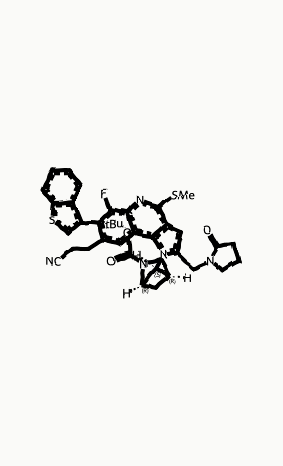 CSc1nc2c(F)c(-c3csc4ccccc34)c(CCC#N)cc2c2c1cc(CN1CCCC1=O)n2[C@H]1[C@@H]2C[C@H]1N(C(=O)OC(C)(C)C)C2